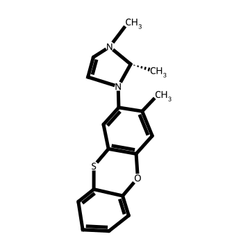 Cc1cc2c(cc1N1C=CN(C)[C@@H]1C)Sc1ccccc1O2